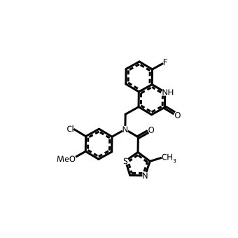 COc1ccc(N(Cc2cc(=O)[nH]c3c(F)cccc23)C(=O)c2scnc2C)cc1Cl